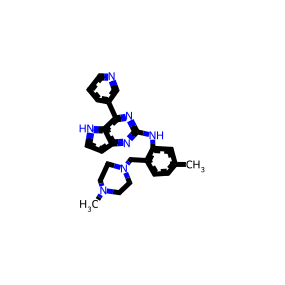 Cc1ccc(CN2CCN(C)CC2)c(Nc2nc(-c3cccnc3)c3[nH]ccc3n2)c1